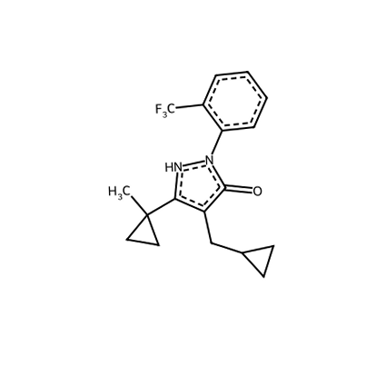 CC1(c2[nH]n(-c3ccccc3C(F)(F)F)c(=O)c2CC2CC2)CC1